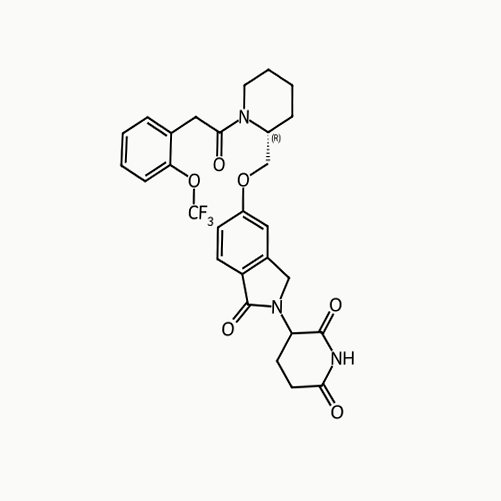 O=C1CCC(N2Cc3cc(OC[C@H]4CCCCN4C(=O)Cc4ccccc4OC(F)(F)F)ccc3C2=O)C(=O)N1